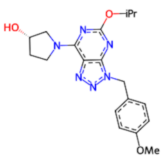 COc1ccc(Cn2nnc3c(N4CC[C@H](O)C4)nc(OC(C)C)nc32)cc1